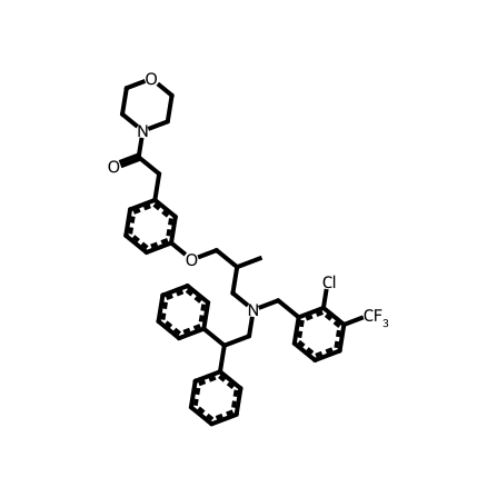 CC(COc1cccc(CC(=O)N2CCOCC2)c1)CN(Cc1cccc(C(F)(F)F)c1Cl)CC(c1ccccc1)c1ccccc1